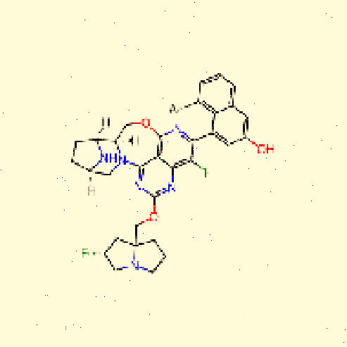 CC(=O)c1cccc2cc(O)cc(-c3nc4c5c(nc(OCC67CCCN6C[C@H](F)C7)nc5c3F)N3C[C@H]5CC[C@H](N5)[C@H]3CO4)c12